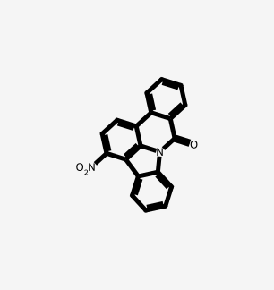 O=c1c2ccccc2c2ccc([N+](=O)[O-])c3c4ccccc4n1c23